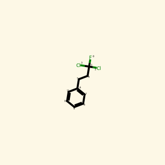 FC(Cl)(Cl)CCc1ccccc1